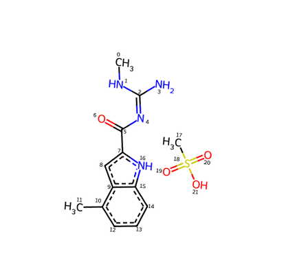 CNC(N)=NC(=O)c1cc2c(C)cccc2[nH]1.CS(=O)(=O)O